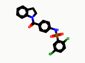 O=C(c1ccc(NS(=O)(=O)c2cc(Cl)ccc2Cl)cc1)N1CCc2ccccc21